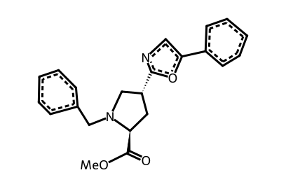 COC(=O)[C@@H]1C[C@@H](c2ncc(-c3ccccc3)o2)CN1Cc1ccccc1